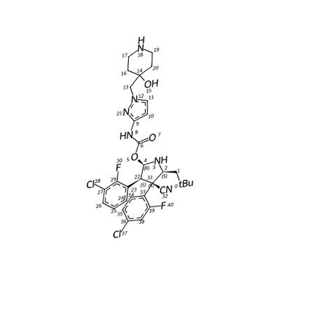 CC(C)(C)C[C@@H]1N[C@H](OC(=O)Nc2ccn(CC3(O)CCNCC3)n2)[C@H](c2cccc(Cl)c2F)[C@@]1(C#N)c1ccc(Cl)cc1F